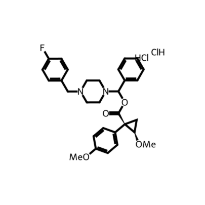 COc1ccc([C@]2(C(=O)OC(c3ccccc3)N3CCN(Cc4ccc(F)cc4)CC3)C[C@H]2OC)cc1.Cl.Cl